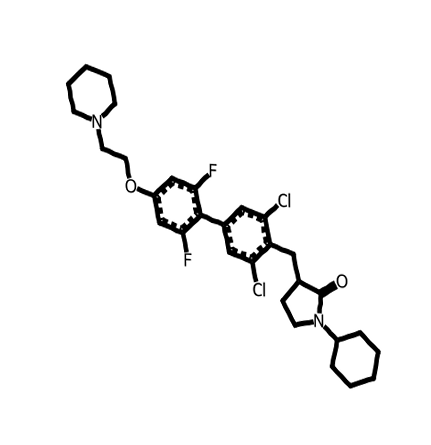 O=C1C(Cc2c(Cl)cc(-c3c(F)cc(OCCN4CCCCC4)cc3F)cc2Cl)CCN1C1CCCCC1